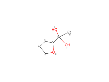 CCC(O)(O)C1CCCO1